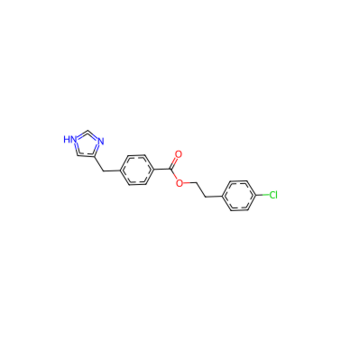 O=C(OCCc1ccc(Cl)cc1)c1ccc(Cc2c[nH]cn2)cc1